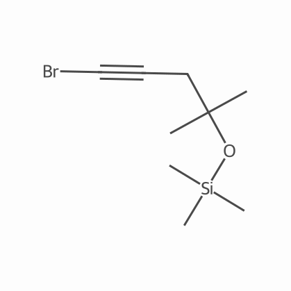 CC(C)(CC#CBr)O[Si](C)(C)C